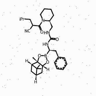 CC(C)CC(C#N)C(=O)N1CCCC[C@H]1CNC(=O)N[C@@H](Cc1ccccc1)B1O[C@@H]2C[C@@H]3C[C@@H](C3(C)C)[C@]2(C)O1